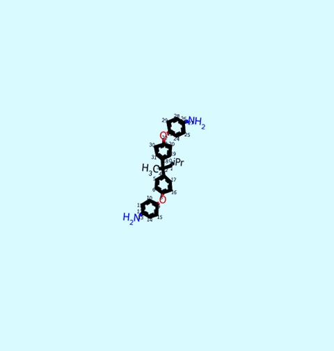 CC(C)CC(C)(c1ccc(Oc2ccc(N)cc2)cc1)c1ccc(Oc2ccc(N)cc2)cc1